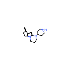 C=C1CCc2c1cc1n2CCCN1C1CCNCC1